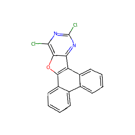 Clc1nc(Cl)c2oc3c4ccccc4c4ccccc4c3c2n1